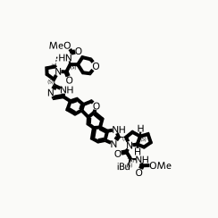 CC[C@H](C)[C@H](NC(=O)OC)C(=O)N1[C@H](c2nc3ccc4cc5c(cc4c3[nH]2)OCc2cc(-c3cnc([C@@H]4CC[C@H](C)N4C(=O)[C@@H](NC(=O)OC)C4CCOCC4)[nH]3)ccc2-5)C[C@@H]2CCC[C@@H]21